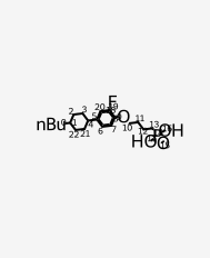 CCCCC1CCC(c2ccc(OCCCCP(=O)(O)O)c(F)c2)CC1